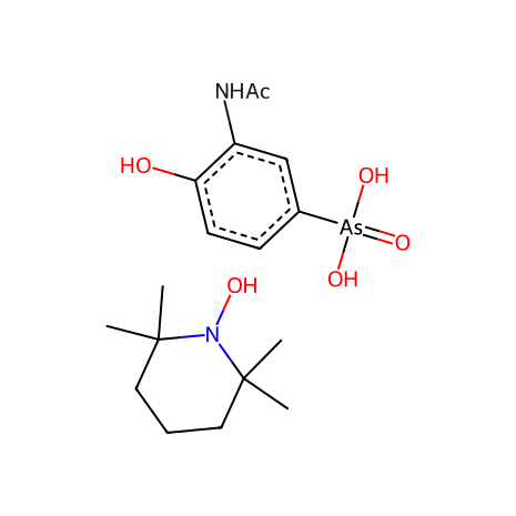 CC(=O)Nc1cc([As](=O)(O)O)ccc1O.CC1(C)CCCC(C)(C)N1O